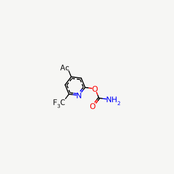 CC(=O)c1cc(OC(N)=O)nc(C(F)(F)F)c1